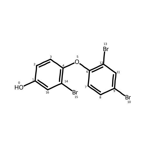 Oc1ccc(Oc2ccc(Br)cc2Br)c(Br)c1